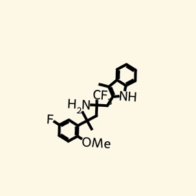 COc1ccc(F)cc1C(C)(C)CC(N)(Cc1[nH]c2ccccc2c1C)C(F)(F)F